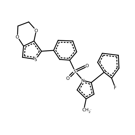 [CH2]c1cc(-c2ccccc2F)n(S(=O)(=O)c2cccc(-c3scc4c3OCCO4)c2)c1